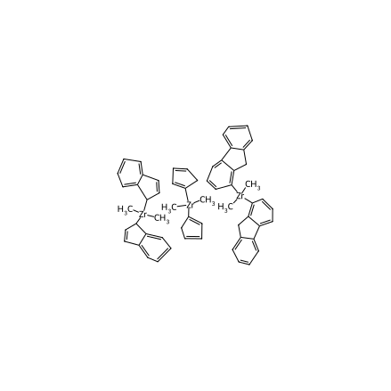 [CH3][Zr]([CH3])([CH]1C=Cc2ccccc21)[CH]1C=Cc2ccccc21.[CH3][Zr]([CH3])([C]1=CC=CC1)[C]1=CC=CC1.[CH3][Zr]([CH3])([c]1cccc2c1Cc1ccccc1-2)[c]1cccc2c1Cc1ccccc1-2